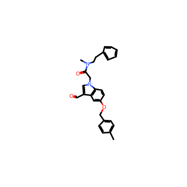 Cc1ccc(COc2ccc3c(c2)c(C=O)cn3CC(=O)N(C)CCc2ccccc2)cc1